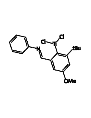 COc1cc(C=Nc2ccccc2)[c]([Ti]([Cl])[Cl])c(C(C)(C)C)c1